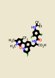 CC[C@@H](Nc1cc(F)c(C(=O)NC(Cc2ccc(-c3c(C(F)(F)F)cc(C)n(C)c3=O)c3ncc(F)cc23)C(=O)O)c(F)c1)C(F)(F)F